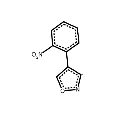 O=[N+]([O-])c1ccccc1-c1[c]noc1